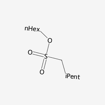 CCCCCCOS(=O)(=O)CC(C)CCC